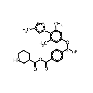 CCC[C@H](Oc1cc(C)c(-n2cc(C(F)(F)F)cn2)c(C)c1)c1ccc(C(=O)OC(=O)C2CCCNC2)cc1